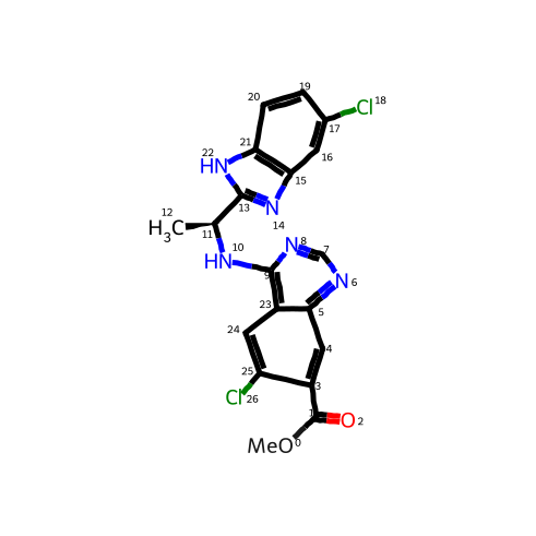 COC(=O)c1cc2ncnc(N[C@@H](C)c3nc4cc(Cl)ccc4[nH]3)c2cc1Cl